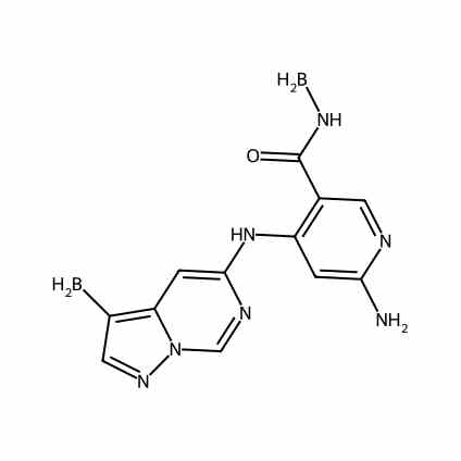 BNC(=O)c1cnc(N)cc1Nc1cc2c(B)cnn2cn1